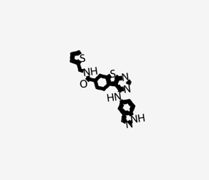 O=C(NCc1cccs1)C1CCc2c(sc3ncnc(Nc4ccc5[nH]ncc5c4)c23)C1